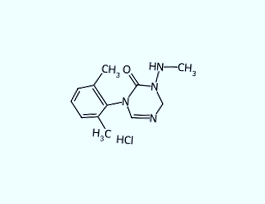 CNN1CN=CN(c2c(C)cccc2C)C1=O.Cl